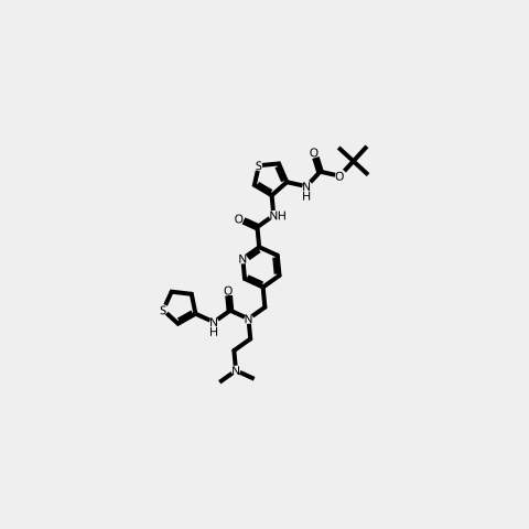 CN(C)CCN(Cc1ccc(C(=O)Nc2cscc2NC(=O)OC(C)(C)C)nc1)C(=O)NC1=CSCC1